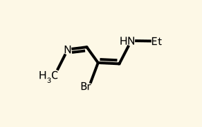 CCN/C=C(Br)\C=N/C